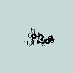 Cc1ccc(N(C(=O)C2CC2)c2ccc3c(c2)OC(F)(F)O3)nc1-c1c[nH]c(=O)c(CCN)c1